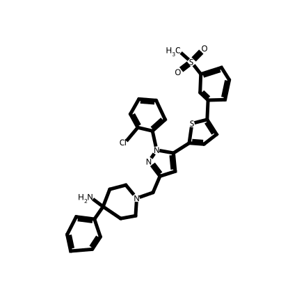 CS(=O)(=O)c1cccc(-c2ccc(-c3cc(CN4CCC(N)(c5ccccc5)CC4)nn3-c3ccccc3Cl)s2)c1